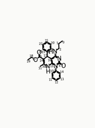 CCCNc1nc(=O)n(-c2ccccc2)c2c1C(c1ccccc1)C(C(=O)OCC)=C(C)N2